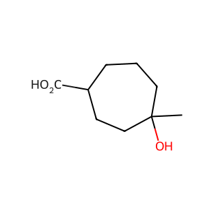 CC1(O)CCCC(C(=O)O)CC1